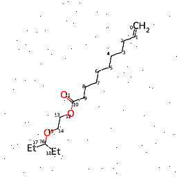 C=CCCCCCCCCC(=O)OCCOC(CC)CC